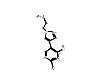 COCCn1cc(-c2cnc(Cl)nc2Cl)cn1